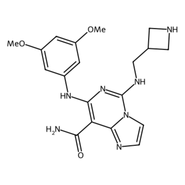 COc1cc(Nc2nc(NCC3CNC3)n3ccnc3c2C(N)=O)cc(OC)c1